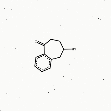 CC(C)C1CCC(=O)c2ccccc2C1